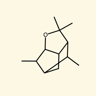 CC1C2CC3C1OC(C)(C)C3C2C